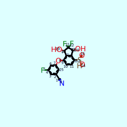 N#Cc1cc(F)cc(Oc2ccc([SH](=O)=O)c3c2[C@@H](O)C(F)(F)[C@H]3O)c1